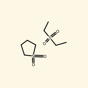 CCS(=O)(=O)CC.O=S1(=O)CCCC1